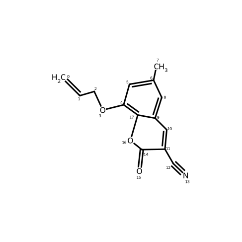 C=CCOc1cc(C)cc2cc(C#N)c(=O)oc12